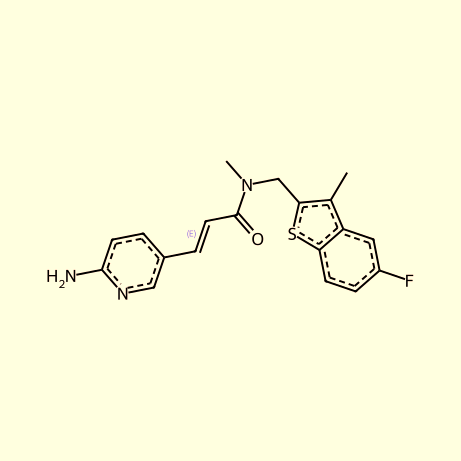 Cc1c(CN(C)C(=O)/C=C/c2ccc(N)nc2)sc2ccc(F)cc12